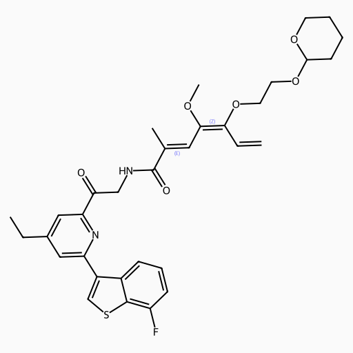 C=C/C(OCCOC1CCCCO1)=C(\C=C(/C)C(=O)NCC(=O)c1cc(CC)cc(-c2csc3c(F)cccc23)n1)OC